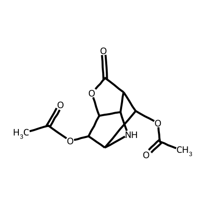 CC(=O)OC1C2NC3C1OC(=O)C3C2OC(C)=O